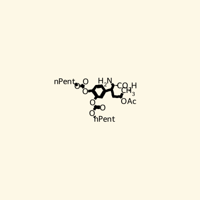 CCCCCOC(=O)Oc1ccc(C(CC(C)OC(C)=O)[C@H](N)C(=O)O)cc1OC(=O)OCCCCC